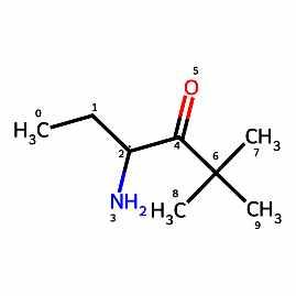 CC[C](N)C(=O)C(C)(C)C